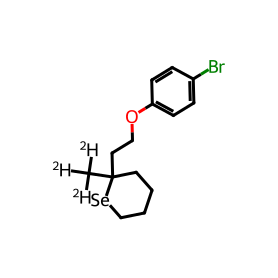 [2H]C([2H])([2H])C1(CCOc2ccc(Br)cc2)CCCC[Se]1